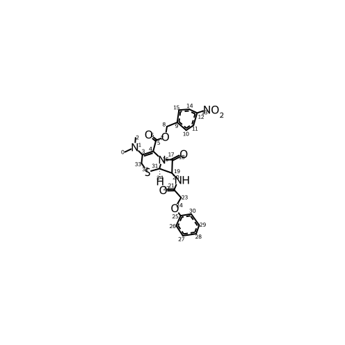 CN(C)C1=C(C(=O)OCc2ccc([N+](=O)[O-])cc2)N2C(=O)C(NC(=O)COc3ccccc3)[C@H]2SC1